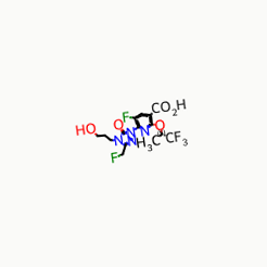 C[C@H](Oc1nc(-n2nc(CF)n(CCCO)c2=O)c(F)cc1C(=O)O)C(F)(F)F